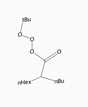 CCCCCCC(CCCC)C(=O)OOOC(C)(C)C